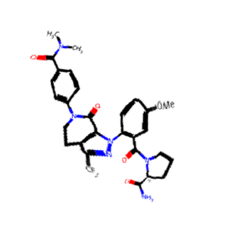 COc1ccc(-n2nc(C(F)(F)F)c3c2C(=O)N(c2ccc(C(=O)N(C)C)cc2)CC3)c(C(=O)N2CCC[C@H]2C(N)=O)c1